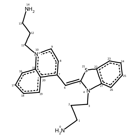 NCCCN1/C(=C/c2cc[n+](CCCN)c3ccccc23)Sc2ccccc21